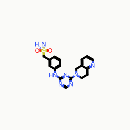 NS(=O)(=O)Cc1cccc(Nc2ncnc(N3CCc4ncccc4C3)n2)c1